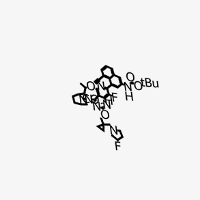 C#Cc1cccc2cc(NC(=O)OC(C)(C)C)cc(-c3nc4c5c(nc(OCC6(CN7CC[C@@H](F)C7)CC6)nc5c3F)N3CC5CCC(C3C(C)O4)N5C(=O)O)c12